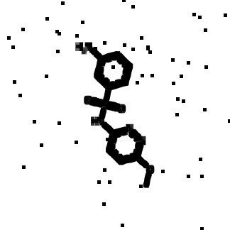 COc1ccc(NS(=O)(=O)c2cccc(N)c2)nn1